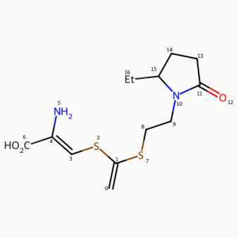 C=C(S/C=C(\N)C(=O)O)SCCN1C(=O)CCC1CC